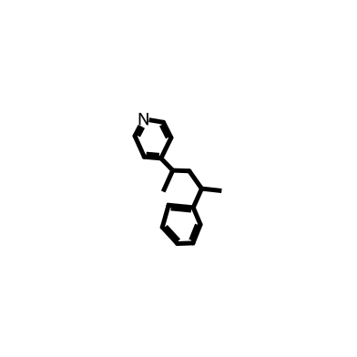 CC(CC(C)c1ccncc1)c1ccccc1